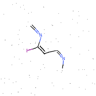 C=N/C(I)=C\C=N/C